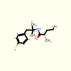 CC(=O)CC[C@H](C)C(=O)NC(C)(C)Cc1ccc(F)cc1